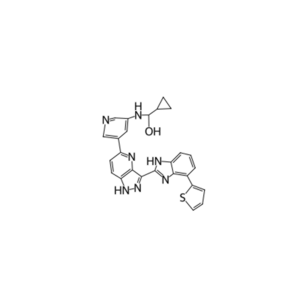 OC(Nc1cncc(-c2ccc3[nH]nc(-c4nc5c(-c6cccs6)cccc5[nH]4)c3n2)c1)C1CC1